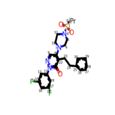 CC(C)S(=O)(=O)N1CCN(c2cnn(-c3cc(F)cc(F)c3)c(=O)c2CCc2ccccc2)CC1